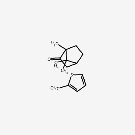 CC12CCC(CC1=O)C2(C)C.O=Cc1cccs1